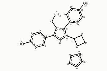 CCc1c(-c2ccc(O)cc2)nn(C2CCC2)c1-c1ccc(O)cc1.c1cn[nH]c1